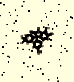 O=C1Nc2c(ccc(F)c2F)C1(c1ccc(O)cc1)C1CCC(F)(F)CC1